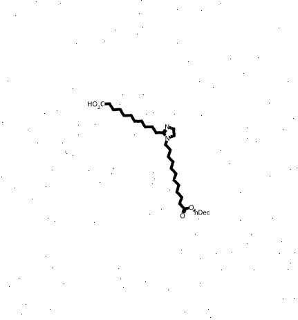 CCCCCCCCCCOC(=O)CCCCCCCCCCCN1CCN=C1CCCCCCCCCCC(=O)O